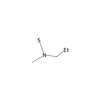 CCCN(C)[S]